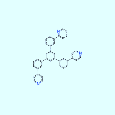 c1ccc(-c2cccc(-c3cc(-c4cccc(-c5ccncc5)c4)cc(-c4cccc(-c5ccncc5)c4)c3)c2)nc1